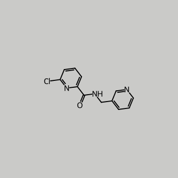 O=C(NCc1cccnc1)c1cccc(Cl)n1